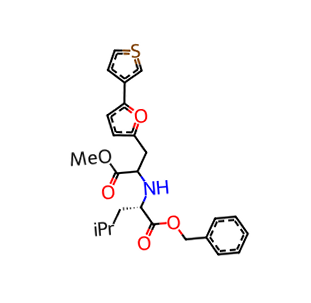 COC(=O)C(Cc1ccc(-c2ccsc2)o1)N[C@@H](CC(C)C)C(=O)OCc1ccccc1